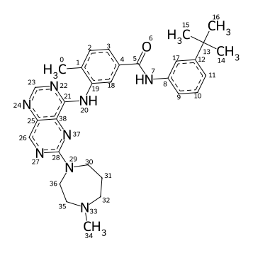 Cc1ccc(C(=O)Nc2cccc(C(C)(C)C)c2)cc1Nc1ncnc2cnc(N3CCCN(C)CC3)nc12